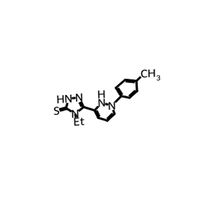 CCn1c(C2=CC=CN(c3ccc(C)cc3)N2)n[nH]c1=S